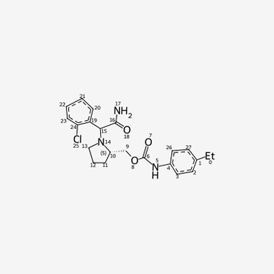 CCc1ccc(NC(=O)OC[C@@H]2CCCN2C(C(N)=O)c2ccccc2Cl)cc1